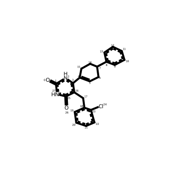 O=c1[nH]c(C2=CCC(c3ccccc3)CC2)c(Cc2ccccc2Cl)c(=O)[nH]1